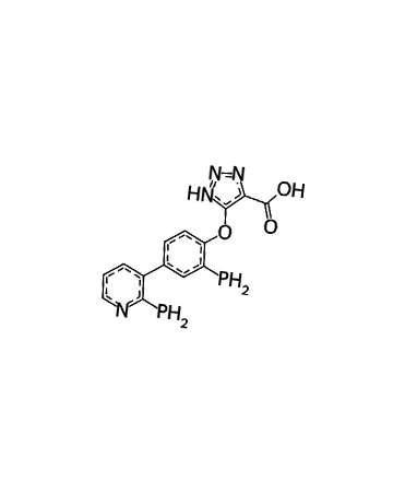 O=C(O)c1nn[nH]c1Oc1ccc(-c2cccnc2P)cc1P